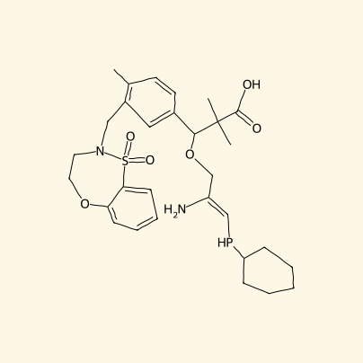 Cc1ccc(C(OC/C(N)=C/PC2CCCCC2)C(C)(C)C(=O)O)cc1CN1CCOc2ccccc2S1(=O)=O